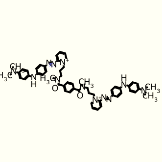 CN(CCC[n+]1ccccc1N=Nc1ccc(Nc2ccc(N(C)C)cc2)cc1)C(=O)c1ccc(C(=O)N(C)CCC[n+]2ccccc2/N=N/c2ccc(Nc3ccc(N(C)C)cc3)cc2)cc1